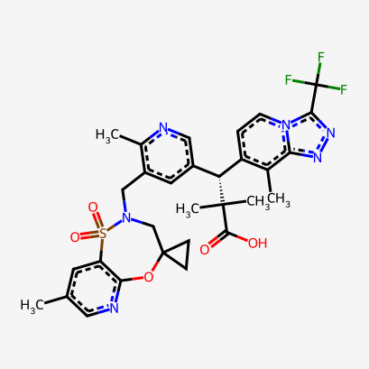 Cc1cnc2c(c1)S(=O)(=O)N(Cc1cc([C@H](c3ccn4c(C(F)(F)F)nnc4c3C)C(C)(C)C(=O)O)cnc1C)CC1(CC1)O2